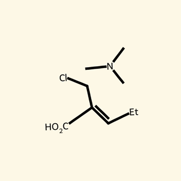 CCC=C(CCl)C(=O)O.CN(C)C